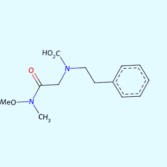 CON(C)C(=O)CN(CCc1ccccc1)C(=O)O